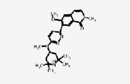 COc1cc2ccn(C)c(=O)c2cc1-c1ccc(N(C)C2CC(C)(C)NC(C)(C)C2)nn1